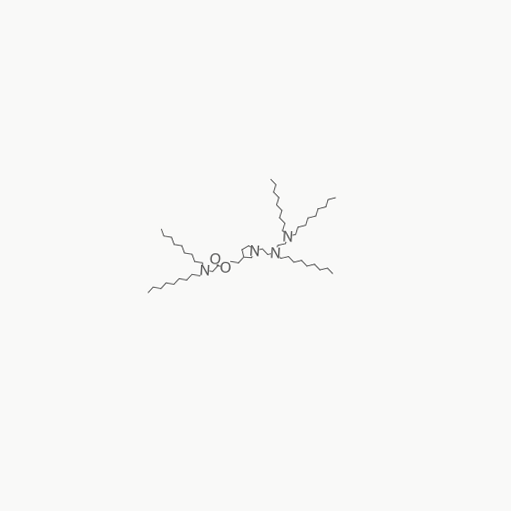 CCCCCCCCCN(CCCCCCCCC)CCN(CCCCCCCCC)CCN1CCC(CCOC(=O)CN(CCCCCCCCC)CCCCCCCCC)C1